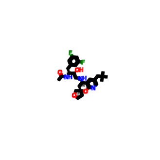 CC(=O)N[C@@H](Cc1cc(F)cc(F)c1)[C@H](O)CN[C@@H]1C[C@]2(CCOC2)Oc2ncc(CC(C)(C)C)cc21